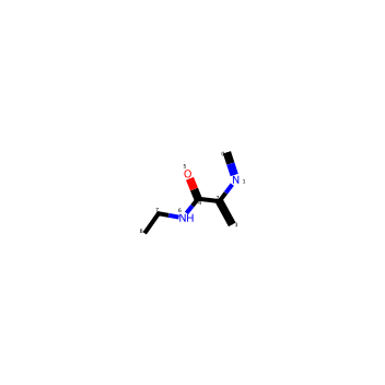 C=NC(=C)C(=O)NCC